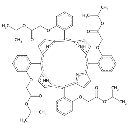 CC(C)OC(=O)COc1ccccc1-c1c2nc(c(-c3ccccc3OCC(=O)OC(C)C)c3ccc([nH]3)c(-c3ccccc3OCC(=O)OC(C)C)c3nc(c(-c4ccccc4OCC(=O)OC(C)C)c4ccc1[nH]4)C=C3)C=C2